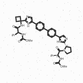 COC(=O)NC(C(=O)NC1(c2ncc(-c3ccc(-c4ccc(-c5cnc([C@@H]6CCCN6C(=O)[C@@H](NC(=O)OC)C(C)C)[nH]5)cc4)cc3)[nH]2)CCC1)C(C)C